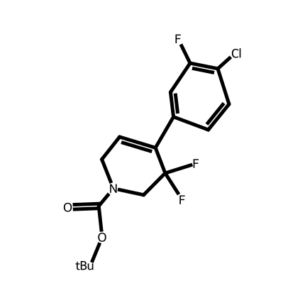 CC(C)(C)OC(=O)N1CC=C(c2ccc(Cl)c(F)c2)C(F)(F)C1